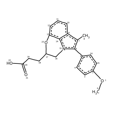 COc1ccc(-c2c(C)c3cccc4c3n2CC(CCC(=O)O)O4)cc1